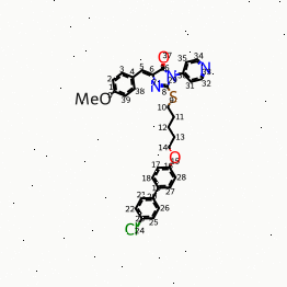 COc1ccc(/C=C2\N=C(SCCCCCOc3ccc(-c4ccc(Cl)cc4)cc3)N(c3ccncc3)C2=O)cc1